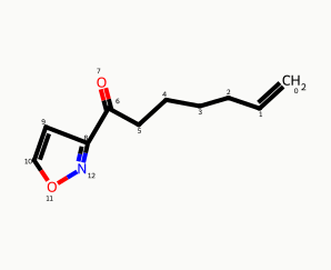 C=CCCCCC(=O)c1ccon1